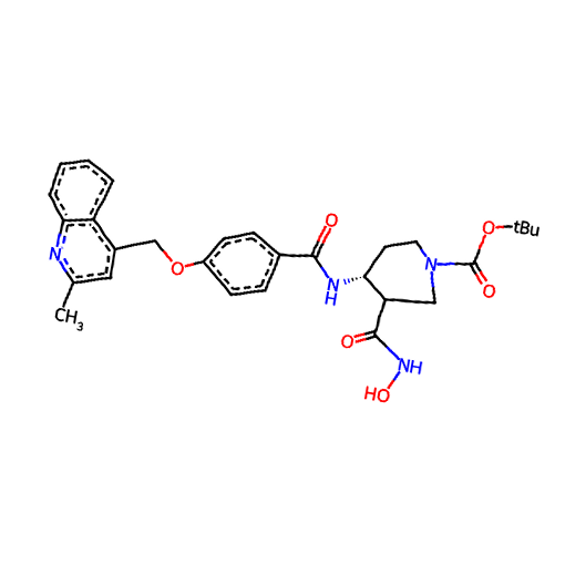 Cc1cc(COc2ccc(C(=O)N[C@@H]3CCN(C(=O)OC(C)(C)C)CC3C(=O)NO)cc2)c2ccccc2n1